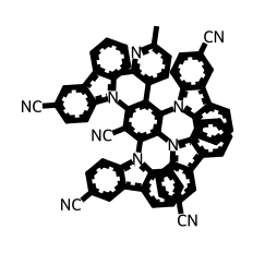 Cc1ccc(-c2c(-n3c4ccccc4c4cc(C#N)ccc43)c(C#N)c(-n3c4ccccc4c4cc(C#N)ccc43)c(-n3c4ccccc4c4cc(C#N)ccc43)c2-n2c3ccccc3c3cc(C#N)ccc32)c(C)n1